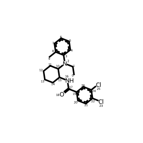 CCN(c1ccccc1C)C1CCCCC1NC(=O)c1ccc(Cl)c(Cl)c1